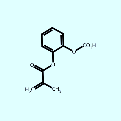 C=C(C)C(=O)Oc1ccccc1OC(=O)O